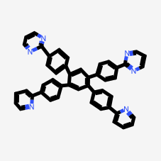 c1ccc(-c2ccc(-c3cc(-c4ccc(-c5ccccn5)cc4)c(-c4ccc(-c5ncccn5)cc4)cc3-c3ccc(-c4ncccn4)cc3)cc2)nc1